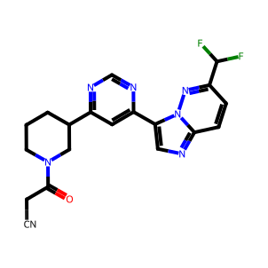 N#CCC(=O)N1CCCC(c2cc(-c3cnc4ccc(C(F)F)nn34)ncn2)C1